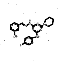 Oc1cccc(C=NNc2nc(Nc3ccc(F)cc3)nc(N3CCCCC3)n2)c1